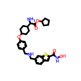 NC(C(=O)OC1CCCC1)C1CCC(Oc2ccc(CNCc3ccc4cc(C(=O)NO)sc4c3)cc2)CC1